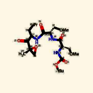 COC[C@H](NC(=O)OC(C)(C)C)C(=O)N[C@@H](COC)C(=O)NC(CC(C)C)C(=O)[C@@]1(C)CO1